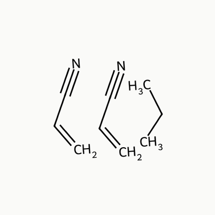 C=CC#N.C=CC#N.CCC